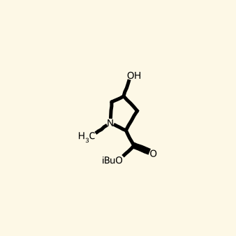 CC(C)COC(=O)C1CC(O)CN1C